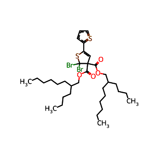 CCCCCCC(CCCC)COC(=O)C1(C(=O)OCC(CCCC)CCCCCC)C=C(c2cccs2)SC1(Br)Br